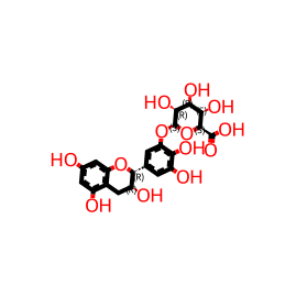 O=C(O)[C@H]1O[C@@H](Oc2cc([C@H]3Oc4cc(O)cc(O)c4C[C@H]3O)cc(O)c2O)[C@H](O)[C@@H](O)[C@@H]1O